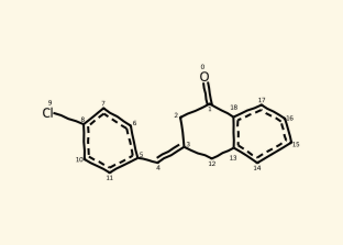 O=C1CC(=Cc2ccc(Cl)cc2)Cc2ccccc21